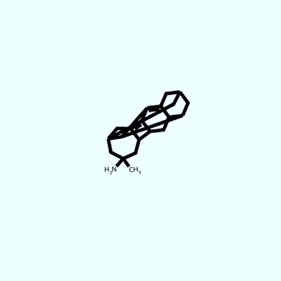 CC1(N)CC2C3=C4C5=C6CC7CC(C6CC42)C5C(C3)(C7)C1